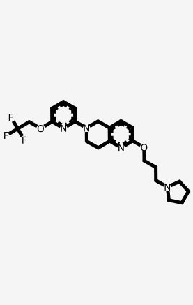 FC(F)(F)COc1cccc(N2CCc3nc(OCCCN4CCCC4)ccc3C2)n1